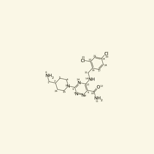 NCC1CCN(c2nnc(C(N)=O)c(NCc3ccc(Cl)cc3Cl)n2)CC1